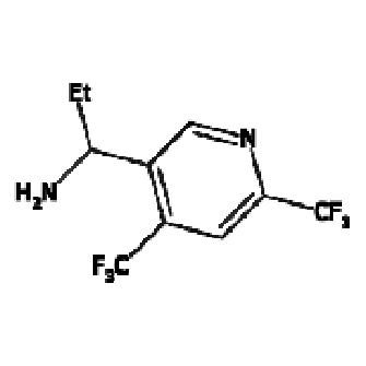 CCC(N)c1cnc(C(F)(F)F)cc1C(F)(F)F